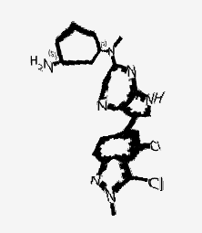 CN(c1cnc2c(-c3ccc4nn(C)c(Cl)c4c3Cl)c[nH]c2n1)[C@@H]1CCC[C@H](N)C1